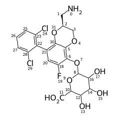 NC[C@H]1COc2c(OC3OC(C(=O)O)C(O)C(O)C3O)c(F)cc(-c3c(Cl)cccc3Cl)c2O1